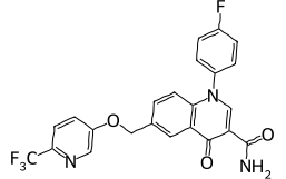 NC(=O)c1cn(-c2ccc(F)cc2)c2ccc(COc3ccc(C(F)(F)F)nc3)cc2c1=O